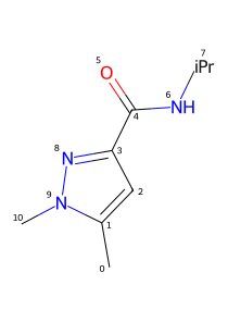 Cc1cc(C(=O)NC(C)C)nn1C